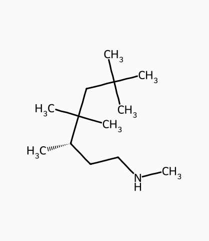 CNCC[C@H](C)C(C)(C)CC(C)(C)C